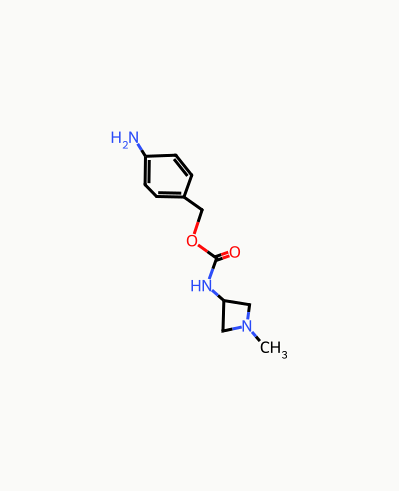 CN1CC(NC(=O)OCc2ccc(N)cc2)C1